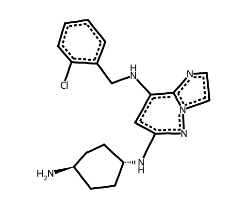 N[C@H]1CC[C@H](Nc2cc(NCc3ccccc3Cl)c3nccn3n2)CC1